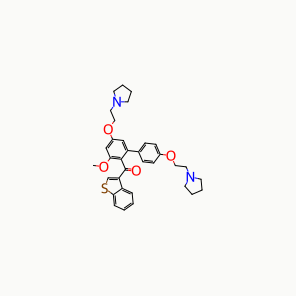 COc1cc(OCCN2CCCC2)cc(-c2ccc(OCCN3CCCC3)cc2)c1C(=O)c1csc2ccccc12